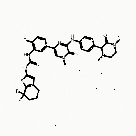 CN1CCN(C)C(c2ccc(Nc3nc(-c4ccc(F)c(NC(=O)Oc5cc6c(s5)C(F)(F)CCC6)c4)cn(C)c3=O)cc2)C1=O